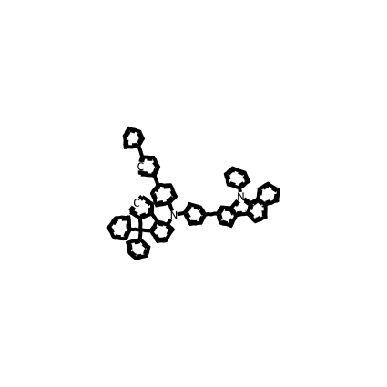 c1ccc(-c2ccc(-c3ccc(N(c4ccc(-c5ccc6c7ccc8ccccc8c7n(-c7ccccc7)c6c5)cc4)c4cccc5c4-c4ccccc4C5(c4ccccc4)c4ccccc4)cc3)cc2)cc1